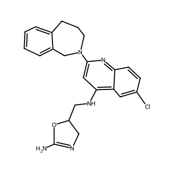 NC1=NCC(CNc2cc(N3CCCc4ccccc4C3)nc3ccc(Cl)cc23)O1